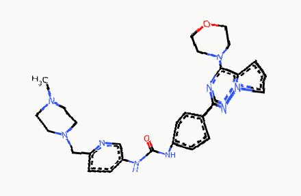 CN1CCN(Cc2ccc(NC(=O)Nc3ccc(-c4nc(N5CCOCC5)c5cccn5n4)cc3)cn2)CC1